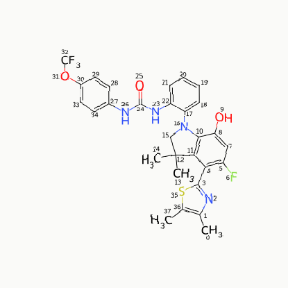 Cc1nc(-c2c(F)cc(O)c3c2C(C)(C)CN3c2ccccc2NC(=O)Nc2ccc(OC(F)(F)F)cc2)sc1C